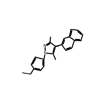 [CH2]Cc1ccc(-n2nc(C)c(-c3ccc4ccccc4c3)c2C)cc1